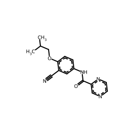 CC(C)COc1ccc(NC(=O)c2cnccn2)cc1C#N